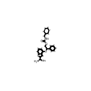 N=C(N)c1cc2c(OC(COC(=O)NCC3CCCCC3)c3ccccc3)cccc2s1